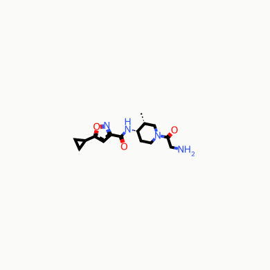 C[C@@H]1CN(C(=O)CN)CC[C@@H]1NC(=O)c1cc(C2CC2)on1